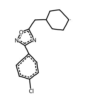 Clc1ccc(-c2noc(CC3CC[CH]CC3)n2)cc1